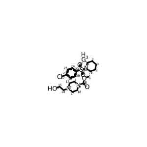 C[C@@H]1CCC[C@H](COC(=O)N2CCN(CCO)CC2)N1S(=O)(=O)c1ccc(Cl)cc1